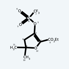 CCOC(=O)C1=C(OS(=O)(=O)C(F)(F)F)CC(C)(C)O1